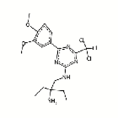 CCC(N)(CC)CNc1nc(-c2ccc(OC)c(OC)c2)nc(C(Cl)(Cl)Cl)n1